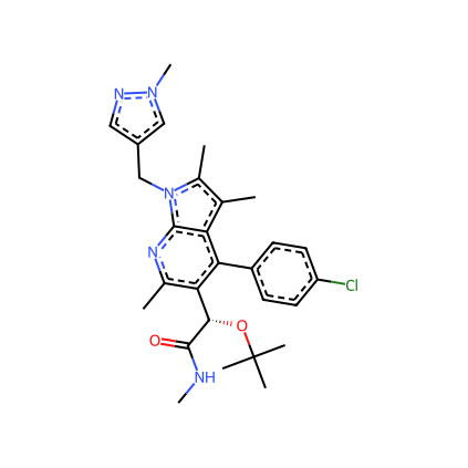 CNC(=O)[C@@H](OC(C)(C)C)c1c(C)nc2c(c(C)c(C)n2Cc2cnn(C)c2)c1-c1ccc(Cl)cc1